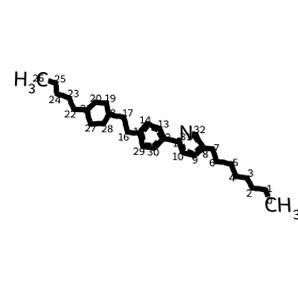 CCCCCCCCc1ccc(-c2ccc(CCC3CCC(CCCCC)CC3)cc2)nc1